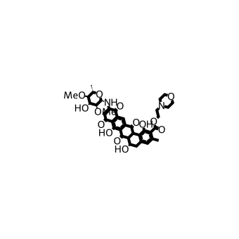 CO[C@@H]1[C@@H](O)[C@@H](OC)[C@@H](NC2=CC(=O)c3c(cc4c(c3O)C(=O)C3C(C4=O)c4c(cc(C)c(C(=O)OCCN5CCOCC5)c4O)C[C@H]3O)C2=O)O[C@H]1C